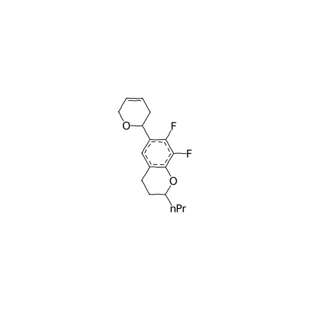 CCCC1CCc2cc(C3CC=CCO3)c(F)c(F)c2O1